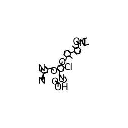 CCN(CC)C(=O)c1cccc(-c2cccc(COc3cc(OCc4cncc(C#N)c4)c(CN4CCC[C@H]4C(=O)O)cc3Cl)c2C)c1C